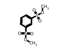 COS(=O)(=O)c1[c]ccc(S(=O)(=O)OC)c1